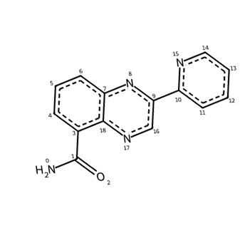 NC(=O)c1cccc2nc(-c3ccccn3)cnc12